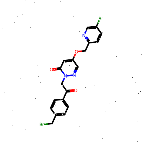 O=C(Cn1ncc(OCc2ccc(Br)cn2)cc1=O)c1ccc(CBr)cc1